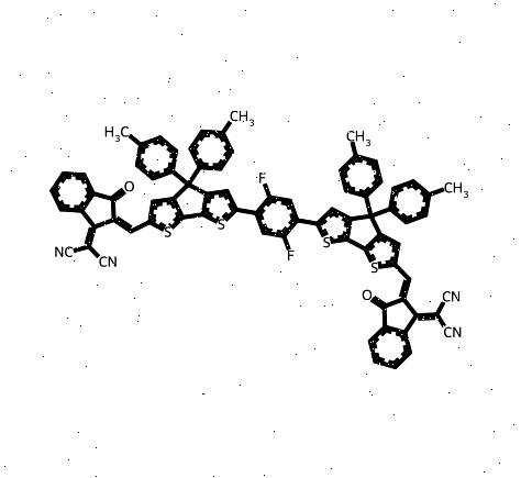 Cc1ccc(C2(c3ccc(C)cc3)c3cc(/C=C4\C(=O)c5ccccc5C4=C(C#N)C#N)sc3-c3sc(-c4cc(F)c(-c5cc6c(s5)-c5sc(/C=C7\C(=O)c8ccccc8C7=C(C#N)C#N)cc5C6(c5ccc(C)cc5)c5ccc(C)cc5)cc4F)cc32)cc1